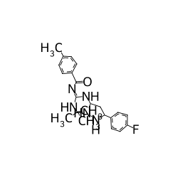 Cc1ccc(C(=O)/N=C(\NC2CC(c3ccc(F)cc3)NN2)NC(C)(C)C)cc1